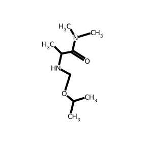 CC(C)OCNC(C)C(=O)N(C)C